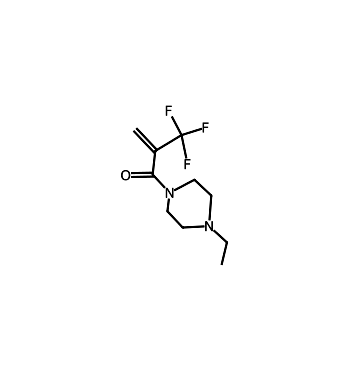 C=C(C(=O)N1CCN(CC)CC1)C(F)(F)F